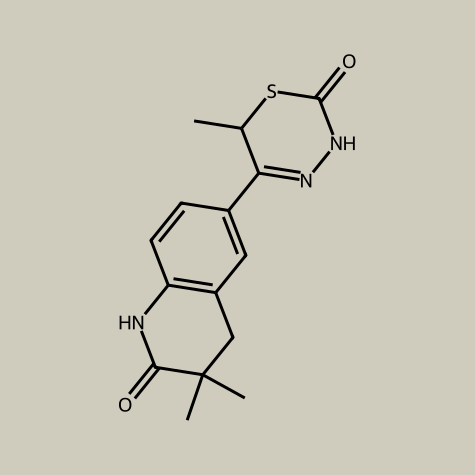 CC1SC(=O)NN=C1c1ccc2c(c1)CC(C)(C)C(=O)N2